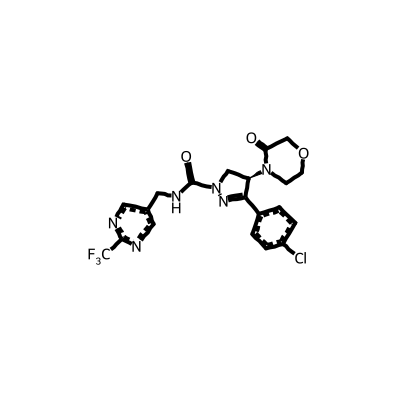 O=C(NCc1cnc(C(F)(F)F)nc1)N1C[C@@H](N2CCOCC2=O)C(c2ccc(Cl)cc2)=N1